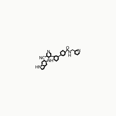 N#Cc1cncc(-c2cccc(-c3ccc(C(=O)NCc4cccnc4)cc3)c2)c1Nc1ccc2[nH]ccc2c1